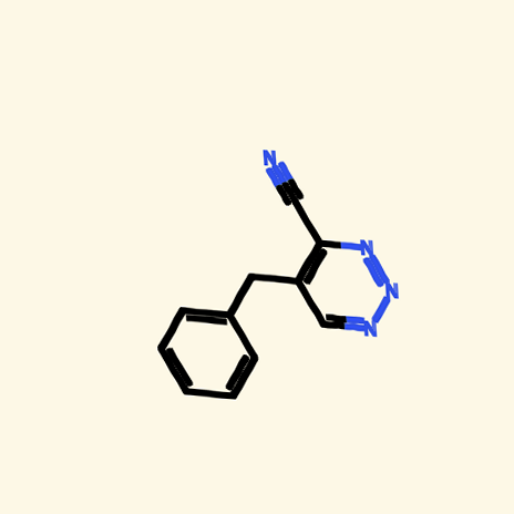 N#Cc1nnncc1Cc1ccccc1